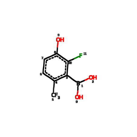 OB(O)c1c(C(F)(F)F)ccc(O)c1F